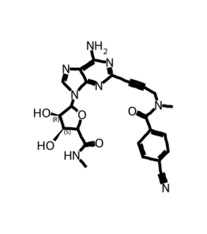 CNC(=O)C1OC(n2cnc3c(N)nc(C#CCN(C)C(=O)c4ccc(C#N)cc4)nc32)[C@H](O)[C@@H]1O